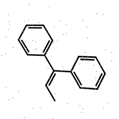 CC=C(c1ccccc1)c1ccccc1